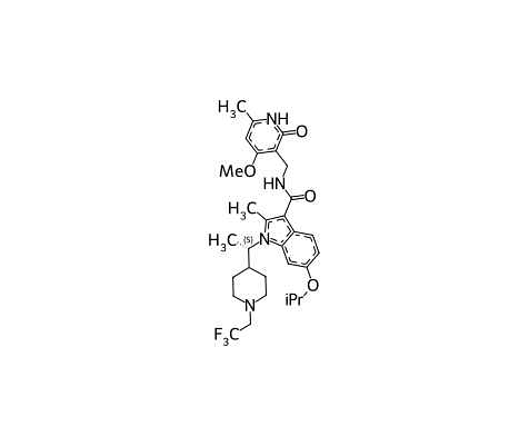 COc1cc(C)[nH]c(=O)c1CNC(=O)c1c(C)n([C@@H](C)C2CCN(CC(F)(F)F)CC2)c2cc(OC(C)C)ccc12